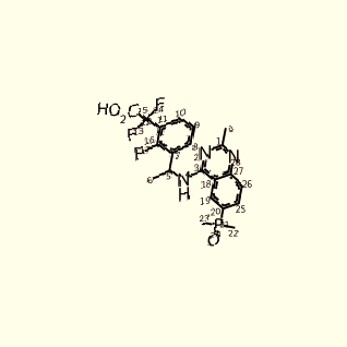 Cc1nc(NC(C)c2cccc(C(F)(F)C(=O)O)c2F)c2cc(P(C)(C)=O)ccc2n1